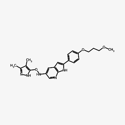 COCCCOc1ccc(-c2cc3cc(NOc4[nH]nc(C)c4C)cnc3[nH]2)cc1